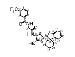 O=C(CNC(=O)c1cccc(C(F)(F)F)c1)N[C@H]1CN(C2Cc3ccccc3C23CCCCC3)C[C@@H]1O